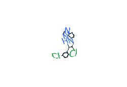 CC(CNc1cccc2nccnc12)C(C)c1cc(Cl)ccc1Cl